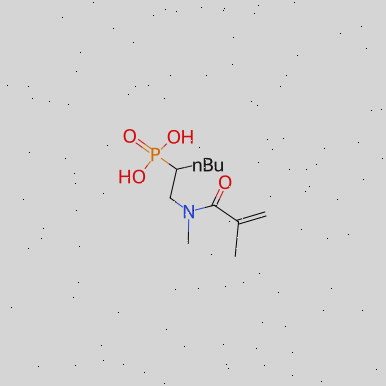 C=C(C)C(=O)N(C)CC(CCCC)P(=O)(O)O